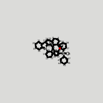 CC1(C)c2ccccc2C2(c3ccccc3-n3c4ccccc4c4cccc2c43)c2cccc(P(=O)(c3ccccc3)c3ccccc3)c21